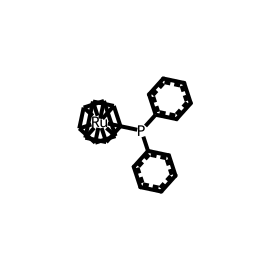 c1ccc(P(c2ccccc2)[C]23[CH]4[CH]5[CH]6[CH]2[Ru]56432789[CH]3[CH]2[CH]7[CH]8[CH]39)cc1